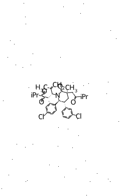 C=C(C)[C@@H](CS(=O)(=O)C(C)C)N1C(=O)[C@@](C)(CC(=O)C(C)C)C[C@H](c2cccc(Cl)c2)[C@H]1c1ccc(Cl)cc1